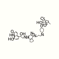 Cc1ccc(C(O)(C(=O)O[C@H]2CC[C@H](N(C)CCCn3cnc4cc(CNC[C@H](O)c5ccc(O)c6[nH]c(=O)ccc56)c5c(c43)CCC5)CC2)c2cccs2)s1